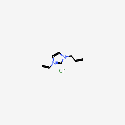 C=CCn1cc[n+](C=C)c1.[Cl-]